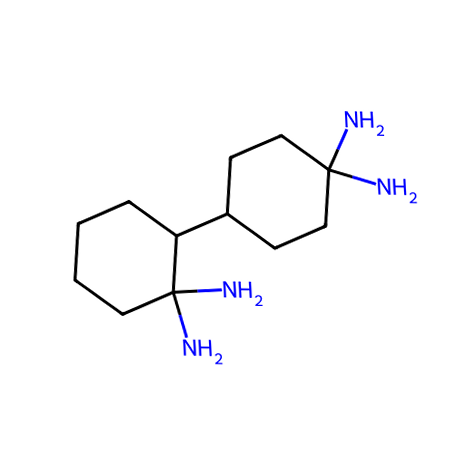 NC1(N)CCC(C2CCCCC2(N)N)CC1